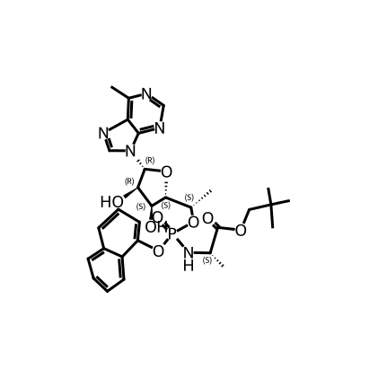 Cc1ncnc2c1ncn2[C@@H]1O[C@H]([C@H](C)OP(=O)(N[C@@H](C)C(=O)OCC(C)(C)C)Oc2cccc3ccccc23)[C@@H](O)[C@H]1O